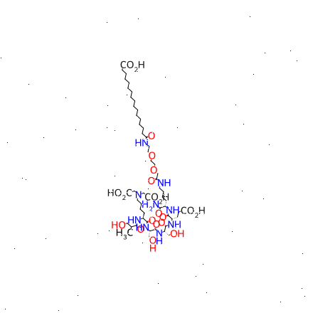 C[C@@H](CO)C(=O)N[C@@H](CCCCN(CC(=O)O)CC(=O)O)C(=O)N[C@@H](CO)C(=O)N[C@@H](CO)C(=O)N[C@@H](CCC(=O)O)C(=O)N[C@@H](CCCCNC(=O)COCCOCCNC(=O)CCCCCCCCCCCCCCCC(=O)O)C(N)=O